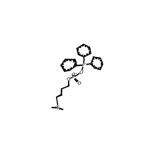 CN(C)CCCCOP(=O)([O-])O[P+](c1ccccc1)(c1ccccc1)c1ccccc1